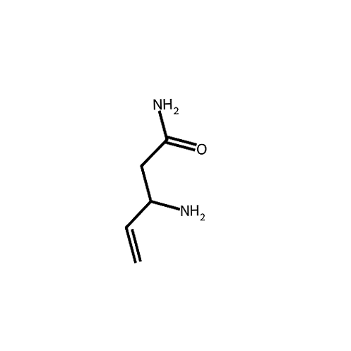 C=CC(N)CC(N)=O